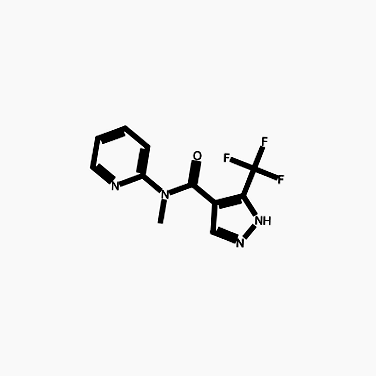 CN(C(=O)c1cn[nH]c1C(F)(F)F)c1ccccn1